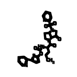 CCCC(NC(=O)Oc1ccc(-c2ccccn2)s1)C(=O)N1CCC2C1C(=O)CN2S(=O)(=O)c1ccccn1